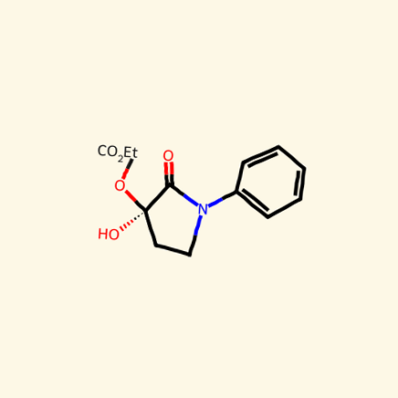 CCOC(=O)O[C@]1(O)CCN(c2ccccc2)C1=O